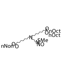 CCCCCCCCCOC(=O)CCCCCCCN(CCCCCCCC(=O)OC(CCCCCCCC)CCCCCCCC)CCCN(N=O)SC